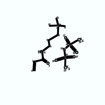 C=CC(=O)NCCC[N+](C)(C)C.O=S(=O)([N-]S(=O)(=O)C(F)(F)F)C(F)(F)F